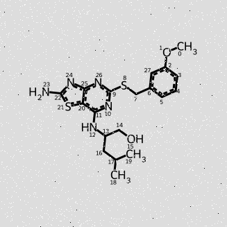 COc1cccc(CSc2nc(NC(CO)CC(C)C)c3sc(N)nc3n2)c1